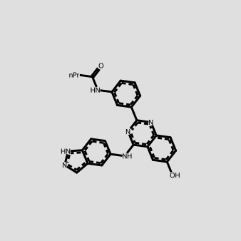 CCCC(=O)Nc1cccc(-c2nc(Nc3ccc4[nH]ncc4c3)c3cc(O)ccc3n2)c1